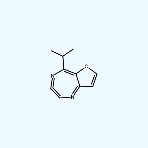 CC(C)C1=c2occc2=NC=C=N1